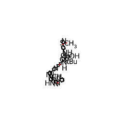 Cc1ncsc1-c1ccc(CNC(=O)[C@@H]2C[C@@H](O)CN2C(=O)[C@@H](NC(=O)C2CC3(C2)CC(N2CCC(c4ccnc(N5CCc6[nH]c7nnc(-c8ccccc8O)cc7c6[C@@H]5C)n4)CC2)C3)C(C)(C)C)cc1